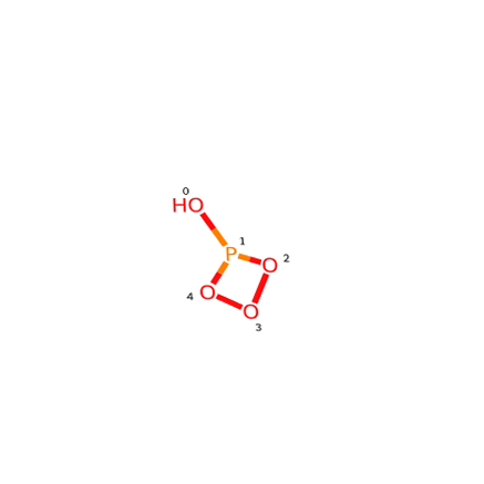 OP1OOO1